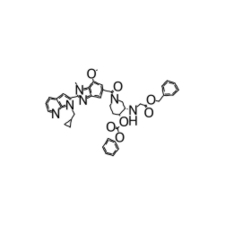 COc1cc(C(=O)N2CC[C@@H](OC(=O)Oc3ccccc3)[C@@H](NCC(=O)OCc3ccccc3)C2)cc2nc(-c3cc4cccnc4n3CC3CC3)n(C)c12